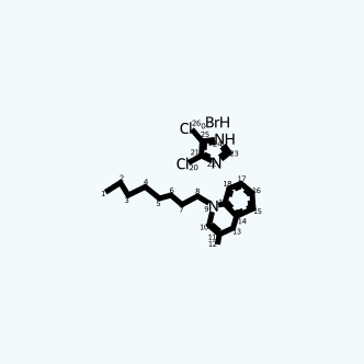 Br.CCCCCCCCN1C=C(C)Cc2ccccc21.Clc1nc[nH]c1Cl